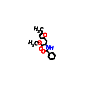 COC(=O)C(Cc1ccc(C)o1)NC(=O)c1ccccc1